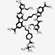 CCn1nc(C)cc1C(=O)Nc1nc2cc(C(N)=O)cnc2n1C/C=C/Cn1c2nc(-c3cc(C)nn3CC)ncc2c2cc(C(N)=O)cc(OCCC3CCN(C(=O)OC(C)(C)C)CC3)c21